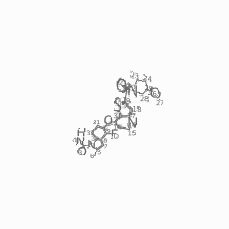 CNC(=O)n1c(C)cc2c(F)c(Oc3ccnc4cc(C(=O)N5CC[C@H](OC)C5)sc34)ccc21